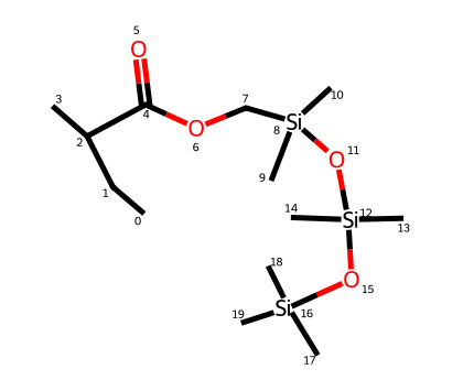 CCC(C)C(=O)OC[Si](C)(C)O[Si](C)(C)O[Si](C)(C)C